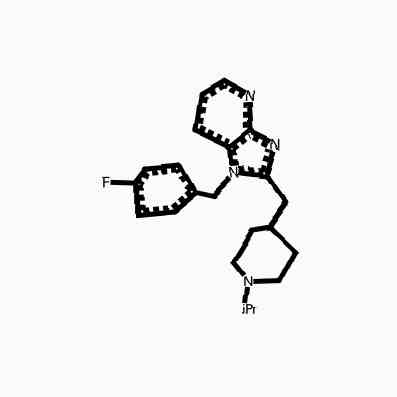 CC(C)N1CCC(Cc2nc3ncccc3n2Cc2ccc(F)cc2)CC1